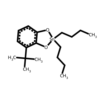 CCC[CH2][Sn]1([CH2]CCC)[O]c2cccc(C(C)(C)C)c2[O]1